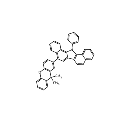 CC1(C)c2ccccc2Oc2ccc(-c3cc4c5ccc6ccccc6c5n(-c5ccccc5)c4c4ccccc34)cc21